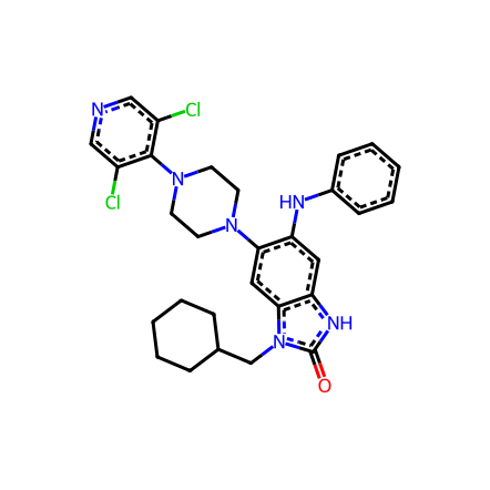 O=c1[nH]c2cc(Nc3ccccc3)c(N3CCN(c4c(Cl)cncc4Cl)CC3)cc2n1CC1CCCCC1